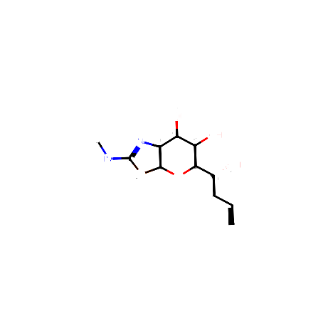 C=CC[C@@H](O)C1OC2SC(NC)=NC2C(O)C1O